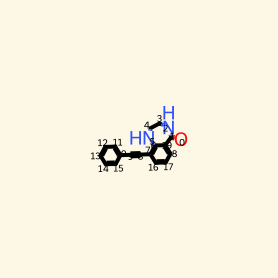 O=C1NCCNc2c(C#Cc3ccccc3)cccc21